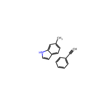 C#Cc1ccccc1.Cc1ccc2cc[nH]c2c1